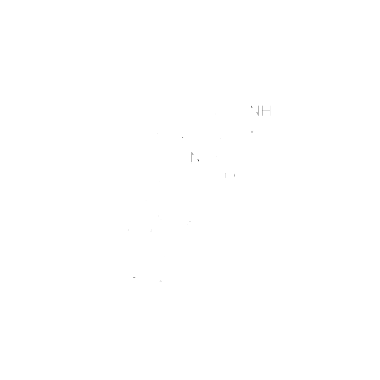 O=C(C1CCNC1)N1CCCc2cc(-c3ccccc3)ccc21